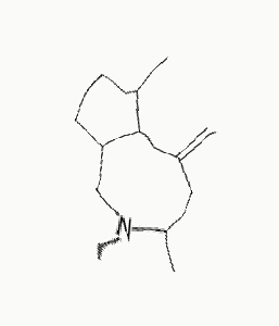 C=C1CC(C)N(C)CC2CCC(C)C12